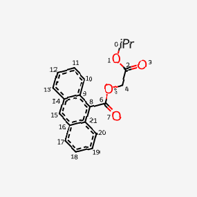 CC(C)OC(=O)COC(=O)c1c2ccccc2cc2ccccc12